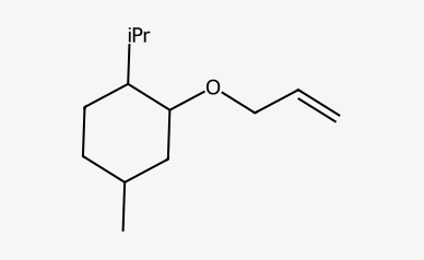 C=CCOC1CC(C)CCC1C(C)C